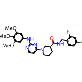 COc1cc(Nc2nccc(N3CCC[C@H](C(=O)NCc4ccc(F)cc4F)C3)n2)cc(OC)c1OC